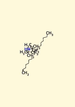 C=CCCCCCCCCCCCCCCCC.C[Si](C)(C)N[Si](C)(C)C